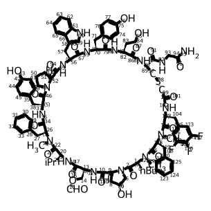 CCCC[C@H]1C(=O)N2C[C@H](O)C[C@@H]2C(=O)N[C@@H](COC=O)C(=O)N[C@@H](C(C)C)C(=O)N(C)[C@@H](Cc2ccccc2)C(=O)N[C@@H](Cc2ccc(O)cc2)C(=O)N2CCC[C@@H]2C(=O)N[C@@H](Cc2c[nH]c3ccccc23)C(=O)N[C@@H](Cc2ccc(O)cc2)C(=O)N[C@@H](CCO)C(=O)N[C@H](C(=O)NCC(N)=O)CSCC(=O)N[C@@H](Cc2cc(F)c(F)c(F)c2)C(=O)N(C)[C@@H](Cc2ccccc2)C(=O)N1C